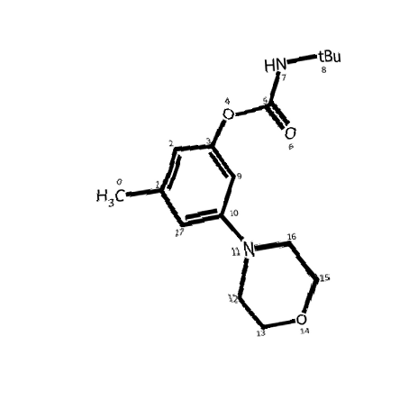 Cc1cc(OC(=O)NC(C)(C)C)cc(N2CCOCC2)c1